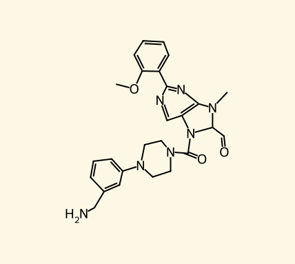 COc1ccccc1-c1ncc2c(n1)N(C)C(C=O)N2C(=O)N1CCN(c2cccc(CN)c2)CC1